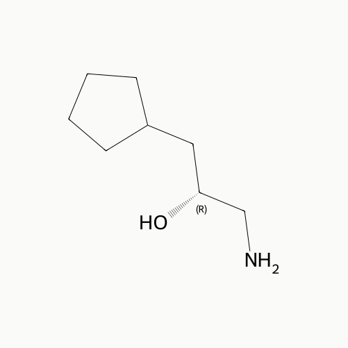 NC[C@H](O)CC1CCCC1